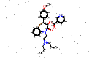 CCCN(CCC)CCN1C(=O)C(OC(=O)c2cccnc2)C(c2ccc(OC)cc2)Sc2ccccc21